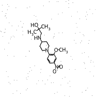 COc1cc([N+](=O)[O-])ccc1N1CCC(NCC(C)(C)O)CC1